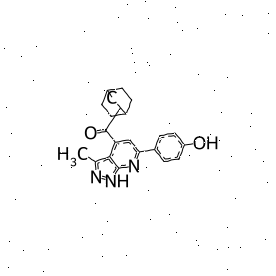 Cc1n[nH]c2nc(-c3ccc(O)cc3)cc(C(=O)C3CC4CCC3CC4)c12